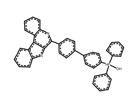 O[PH](c1ccccc1)(c1ccccc1)c1ccc(-c2ccc(-c3nc4ccccc4c4c3sc3ccccc34)cc2)cc1